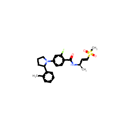 Cc1ccccc1C1CCCN1c1ccc(C(=O)N[C@H](C)/C=C/S(C)(=O)=O)c(F)c1